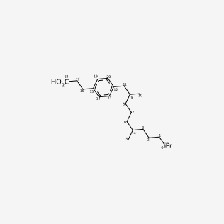 CC(C)CCCC(C)CCCC(C)Cc1ccc(CCC(=O)O)cc1